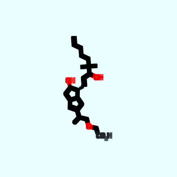 C=CCCCC(C)(C)C(O)/C=C/[C@@H]1C2CC(C(C)COCC(=O)O)=CC2C[C@H]1O